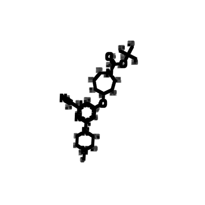 CN1CCN(c2cc(OC3CCCN(C(=O)OC(C)(C)C)CC3)cc(C#N)n2)CC1